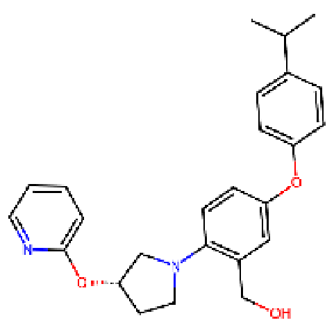 CC(C)c1ccc(Oc2ccc(N3CC[C@H](Oc4ccccn4)C3)c(CO)c2)cc1